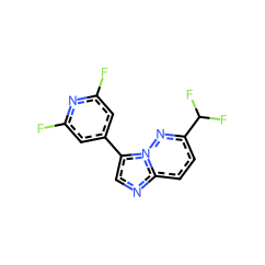 Fc1cc(-c2cnc3ccc(C(F)F)nn23)cc(F)n1